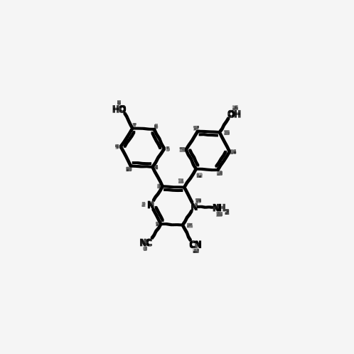 N#CC1=NC(c2ccc(O)cc2)=C(c2ccc(O)cc2)N(N)C1C#N